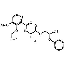 COc1ccnc(C(=O)N[C@@H](C)C(=O)OC[C@@H](C)Oc2ccccc2)c1OCOC(C)=O